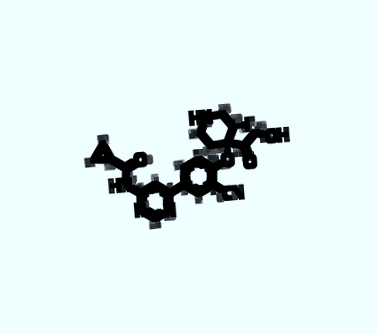 N#Cc1cc(-c2cc(NC(=O)C3CC3)ncn2)ccc1O[C@@]1(C(=O)CO)CCNC[C@H]1F